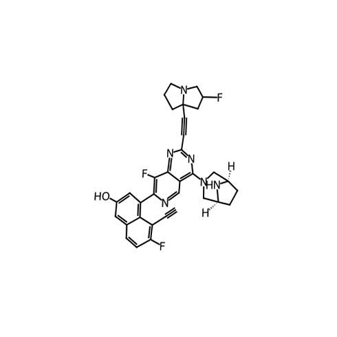 C#Cc1c(F)ccc2cc(O)cc(-c3ncc4c(N5C[C@H]6CC[C@@H](C5)N6)nc(C#CC56CCCN5CC(F)C6)nc4c3F)c12